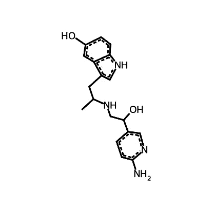 CC(Cc1c[nH]c2ccc(O)cc12)NCC(O)c1ccc(N)nc1